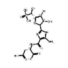 Nc1[nH]c(C2O[C@H](C(O)P(=O)(O)O)[C@@H](O)[C@H]2O)nc1C(=O)N[C@@H](CC(=O)O)C(=O)O